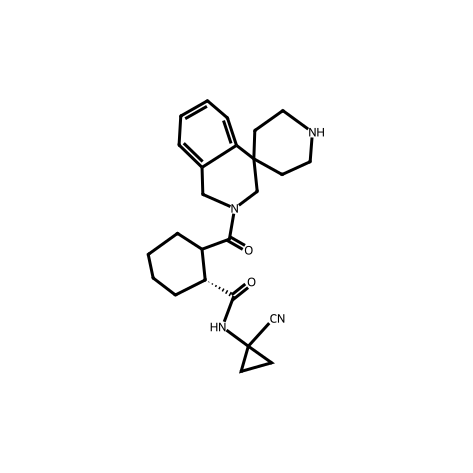 N#CC1(NC(=O)[C@@H]2CCCCC2C(=O)N2Cc3ccccc3C3(CCNCC3)C2)CC1